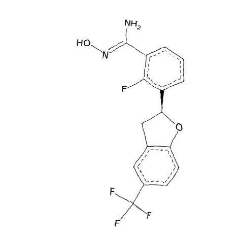 NC(=NO)c1cccc([C@@H]2Cc3cc(C(F)(F)F)ccc3O2)c1F